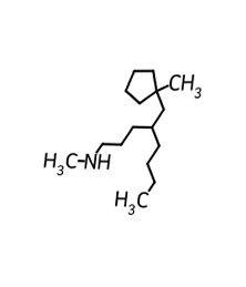 CCCCC(CCCNC)CC1(C)CCCC1